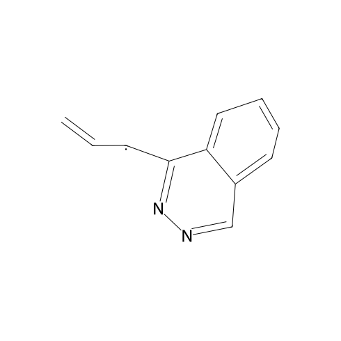 C=C[CH]c1nncc2ccccc12